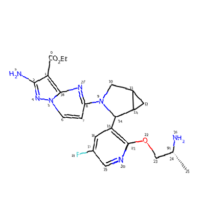 CCOC(=O)c1c(N)nn2ccc(N3CC4CC4C3c3cc(F)cnc3OC[C@@H](C)N)nc12